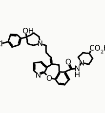 O=C(NN1CCC(C(=O)O)CC1)c1cccc2c1C/C(=C/CCN1CCC(O)(c3ccc(Cl)cc3)CC1)c1cccnc1O2